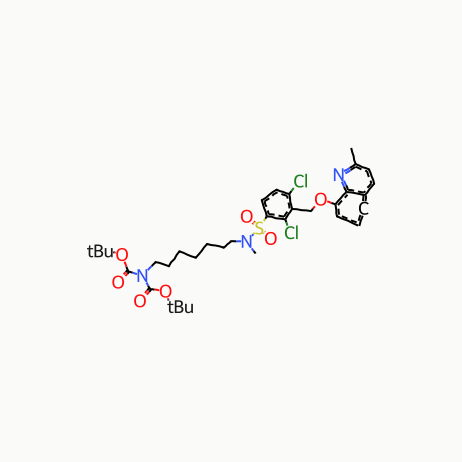 Cc1ccc2cccc(OCc3c(Cl)ccc(S(=O)(=O)N(C)CCCCCCCN(C(=O)OC(C)(C)C)C(=O)OC(C)(C)C)c3Cl)c2n1